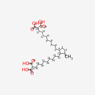 CC1CCC(CCCCCCCCCC(C(=O)O)C(=O)O)C1CCCCCCCCCC(C(=O)O)C(=O)O